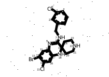 Clc1cccc(CNC2=Nc3cc(Br)c(Cl)cc3NC23CCNCC3)c1